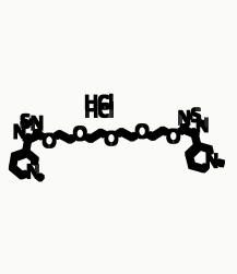 CN1CCC=C(c2nsnc2OCCOCCOCCOCCOc2nsnc2C2=CCCN(C)C2)C1.Cl.Cl